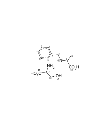 CC(NCc1ccccc1)C(=O)O.NC(CO)C(=O)O